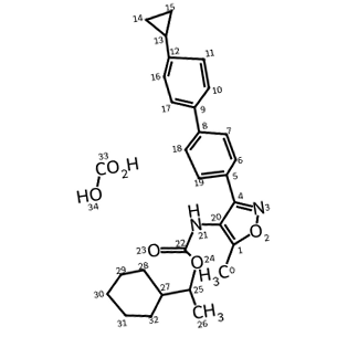 Cc1onc(-c2ccc(-c3ccc(C4CC4)cc3)cc2)c1NC(=O)OC(C)C1CCCCC1.O=C(O)O